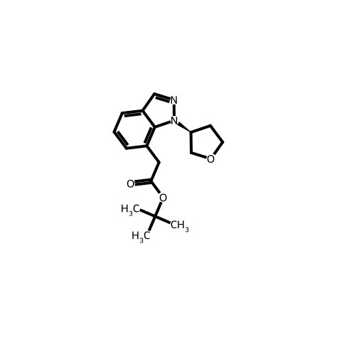 CC(C)(C)OC(=O)Cc1cccc2cnn([C@H]3CCOC3)c12